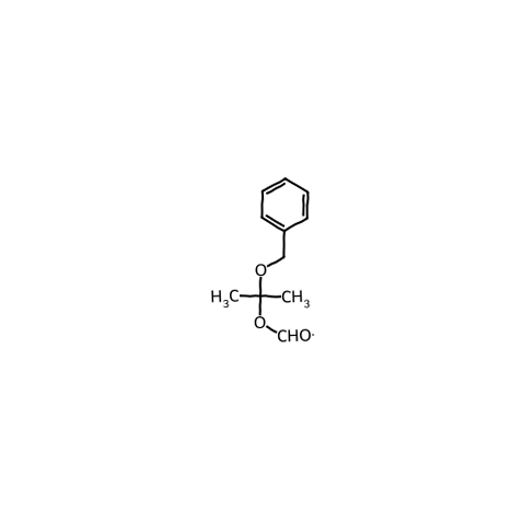 CC(C)(O[C]=O)OCc1ccccc1